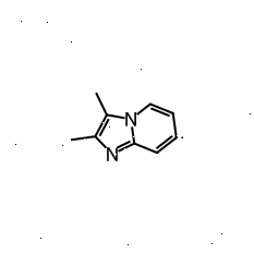 Cc1nc2c[c]ccn2c1C